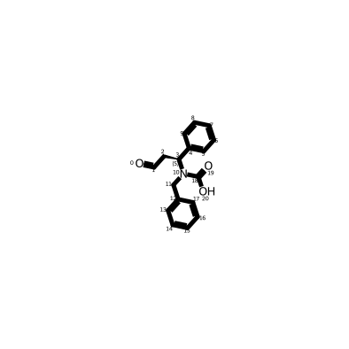 O=CC[C@@H](c1ccccc1)N(Cc1ccccc1)C(=O)O